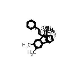 Cc1cc2c(cc1C)[C](CCc1ccccc1)([Hf]([CH3])([CH3])([CH3])([CH3])([CH3])([CH3])([CH3])[CH]1C=CC=C1)C=C2